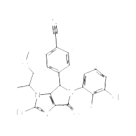 COCC(C)n1c(Br)nc2c1C(c1ccc(C#N)cc1)N(c1cccc(Cl)c1F)C2=O